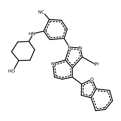 CC(C)c1nn(-c2ccc(C#N)c(NC3CCC(O)CC3)c2)c2nccc(-c3cc4ccccc4o3)c12